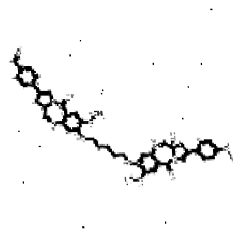 COc1ccc(C2=CN3C(=O)c4cc(OC)c(OCCCCCOc5cc6c(cc5OC)C(=O)N5C=C(c7ccc(C=O)cc7)CC5C=N6)cc4N=C[C@@H]3C2)cc1